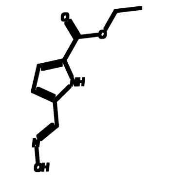 CCOC(=O)c1ccc(C=NO)[nH]1